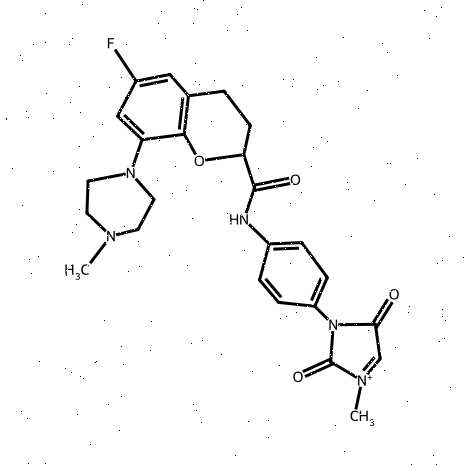 CN1CCN(c2cc(F)cc3c2OC(C(=O)Nc2ccc(N4C(=O)C=[N+](C)C4=O)cc2)CC3)CC1